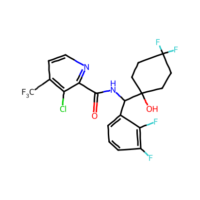 O=C(NC(c1cccc(F)c1F)C1(O)CCC(F)(F)CC1)c1nccc(C(F)(F)F)c1Cl